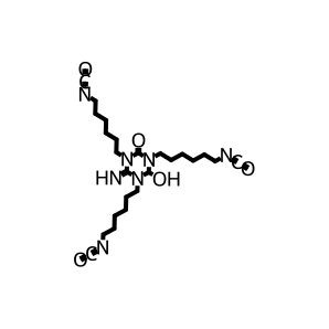 N=C1N(CCCCCCN=C=O)C(=O)N(CCCCCCN=C=O)C(O)N1CCCCCCN=C=O